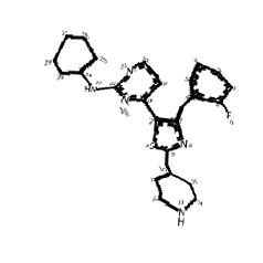 Fc1ccccc1-c1nc(C2CCNCC2)sc1-c1ccnc(NC2CCCCC2)n1